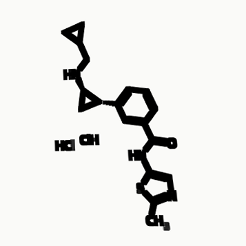 Cc1ncc(NC(=O)c2cccc([C@@H]3C[C@H]3NCC3CC3)c2)s1.Cl.Cl